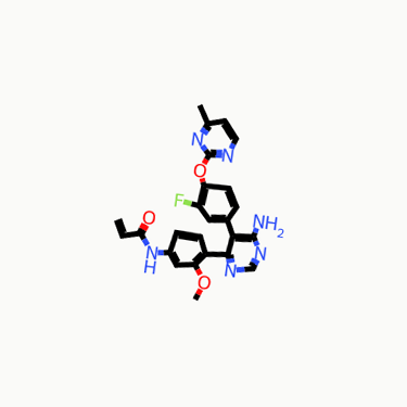 C=CC(=O)Nc1ccc(-c2ncnc(N)c2-c2ccc(Oc3nccc(C)n3)c(F)c2)c(OC)c1